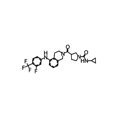 O=C(NC1CC1)N1CCC(C(=O)N2CCc3c(cccc3Nc3ccc(C(F)(F)F)c(F)c3)C2)C1